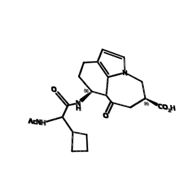 CC(=O)NC(C(=O)N[C@H]1CCc2ccn3c2C1C(=O)C[C@H](C(=O)O)C3)C1CCC1